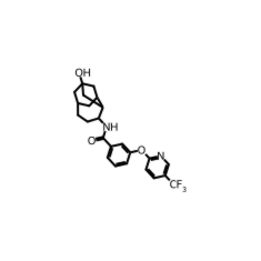 O=C(NC1CCC2CC3CC(O)(C2)CC31)c1cccc(Oc2ccc(C(F)(F)F)cn2)c1